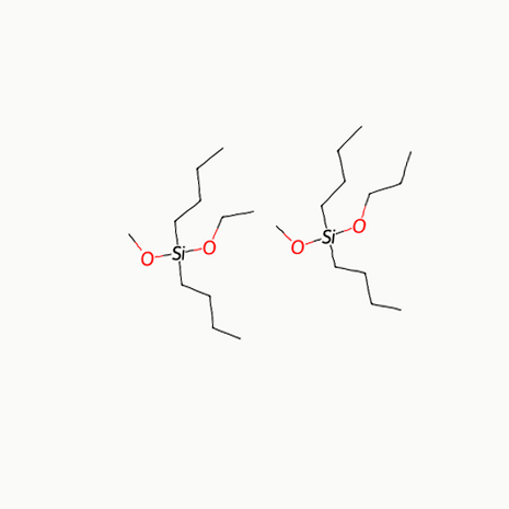 CCCC[Si](CCCC)(OC)OCC.CCCC[Si](CCCC)(OC)OCCC